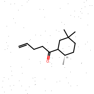 C=CCCC(=O)C1CC(C)(C)CC[C@@H]1C